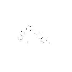 COc1ccc(C[C@H](N)COc2cncc(-c3ccc4[nH]nc(C)c4c3)c2)cc1F